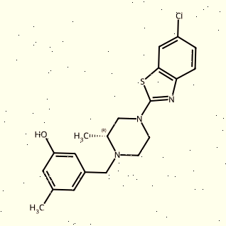 Cc1cc(O)cc(CN2CCN(c3nc4ccc(Cl)cc4s3)C[C@H]2C)c1